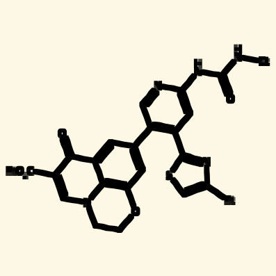 CCNC(=O)Nc1cc(-c2nc(CC)cs2)c(-c2cc3c4c(c2)c(=O)c(C(=O)OCC)cn4CCO3)cn1